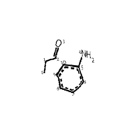 CCC=O.Nc1ccccc1